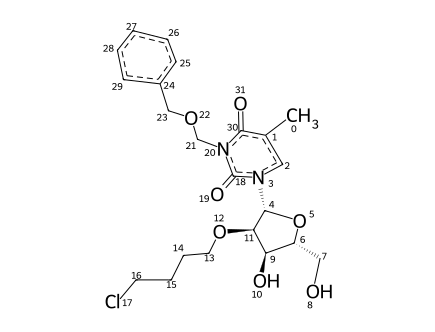 Cc1cn([C@@H]2O[C@H](CO)[C@@H](O)[C@H]2OCCCCCl)c(=O)n(COCc2ccccc2)c1=O